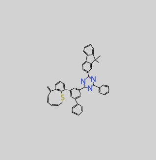 C=C1/C=C\C=C/CSc2c1cccc2-c1cc(-c2ccccc2)cc(-c2nc(-c3ccccc3)nc(-c3ccc4c(c3)C(C)(C)c3ccccc3-4)n2)c1